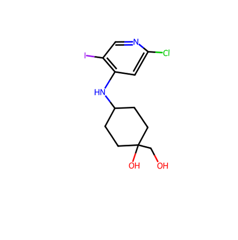 OCC1(O)CCC(Nc2cc(Cl)ncc2I)CC1